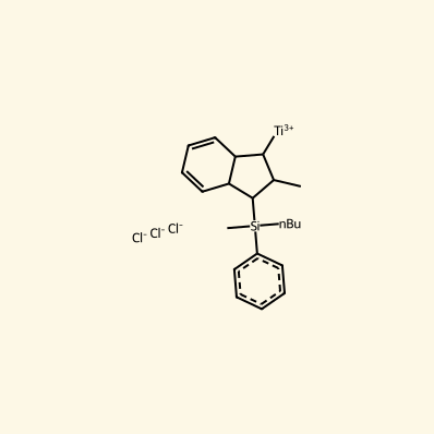 CCCC[Si](C)(c1ccccc1)C1C(C)[CH]([Ti+3])C2C=CC=CC21.[Cl-].[Cl-].[Cl-]